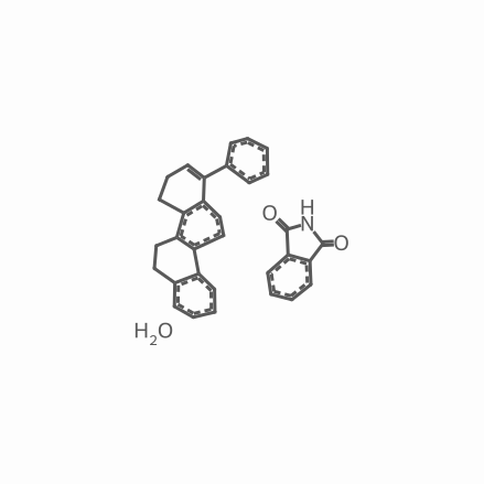 C1=C(c2ccccc2)c2ccc3c(c2CC1)CCc1ccccc1-3.O.O=C1NC(=O)c2ccccc21